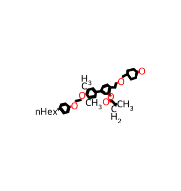 C=C(C)C(=O)Oc1cc(-c2cc(C)c(OCCOc3ccc(CCCCCC)cc3)c(C)c2)ccc1CCOCC1CCC(=O)CC1